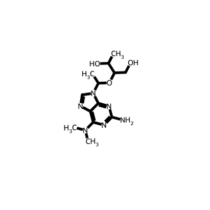 CC(O)C(CO)OC(C)n1cnc2c(N(C)C)nc(N)nc21